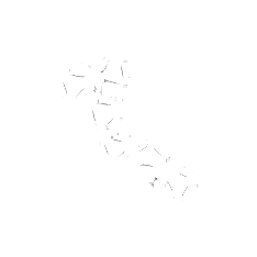 CC1(C)c2ccccc2N2c3ccc(-c4cccc(-c5ccc6oc7ccccc7c(=O)c6c5)c4)cc3Oc3cccc1c32